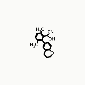 Cc1ccc(C)c(C(O)C#N)c1-c1ccc2c(c1)CCCO2